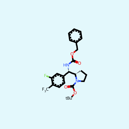 CC(C)(C)OC(=O)N1CCC[C@H]1[C@@H](NC(=O)OCc1ccccc1)c1ccc(C(F)(F)F)c(F)c1